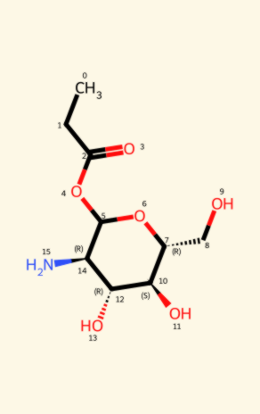 CCC(=O)OC1O[C@H](CO)[C@@H](O)[C@H](O)[C@H]1N